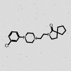 O=C1N(CCN2CCN(c3cccc(Cl)c3)CC2)CCC12CCCC2